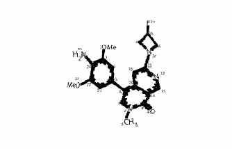 COc1cc(-c2cn(C)c(=O)c3cnc(N4CC(F)C4)cc23)cc(OC)c1N